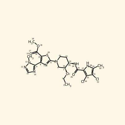 CCO[C@H]1CN(c2nc(-c3ncnn3C)c(C(=O)OC)s2)CC[C@H]1NC(=O)c1[nH]c(C)c(Cl)c1Cl